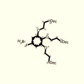 B.CCCCCCCCCCCCOc1cc(F)cc(OCCCCCCCCCCCC)c1OCCCCCCCCCCCC